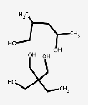 CC(O)CC(C)CO.CCC(CO)(CO)CO